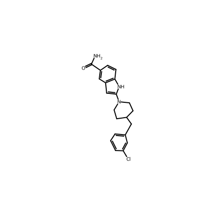 NC(=O)c1ccc2[nH]c(N3CCC(Cc4cccc(Cl)c4)CC3)cc2c1